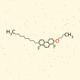 CCCCCCCCCCc1ccc2c(ccc3c(F)c(OCCCC)ccc32)c1F